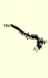 CCCCCCCCCC=CC=CC=CC=CC=CC(=O)SCCNC(=O)CCNC(=O)[C@H](O)C(C)(C)COP(=O)(O)OP(=O)(O)OC[C@H]1O[C@@H](n2cnc3c(N)ncnc32)[C@H](O)[C@@H]1OP(=O)(O)O